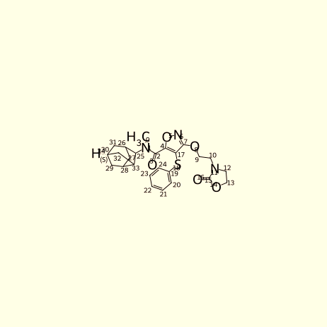 CN(C(=O)c1onc(OCCN2CCOC2=O)c1Sc1ccccc1)C1C2CC3C[C@@H](C2)CC31